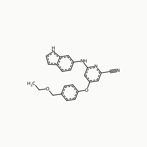 CCOCc1ccc(Oc2cc(C#N)nc(Nc3ccc4cc[nH]c4c3)c2)cc1